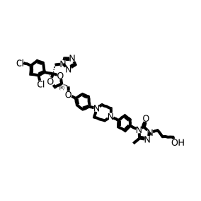 Cc1nn(CCCO)c(=O)n1-c1ccc(N2CCN(c3ccc(OC[C@@H]4CO[C@@](Cn5cncn5)(c5ccc(Cl)cc5Cl)O4)cc3)CC2)cc1